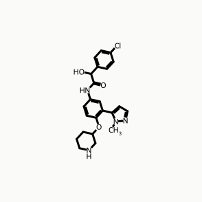 Cn1nccc1-c1cc(NC(=O)C(O)c2ccc(Cl)cc2)ccc1OC1CCCNC1